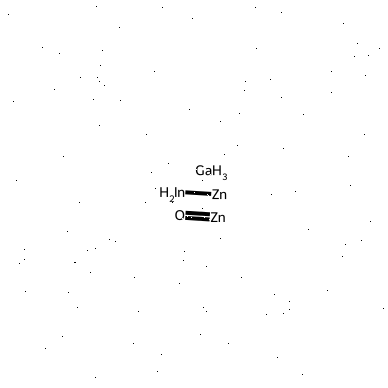 [GaH3].[O]=[Zn].[Zn][InH2]